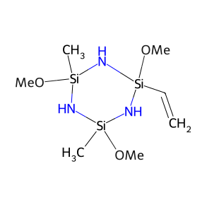 C=C[Si]1(OC)N[Si](C)(OC)N[Si](C)(OC)N1